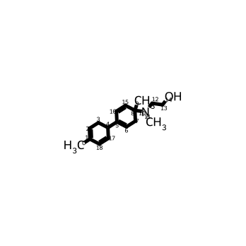 CC1=CCC(C2=CCC(C)(N(C)CCO)C=C2)C=C1